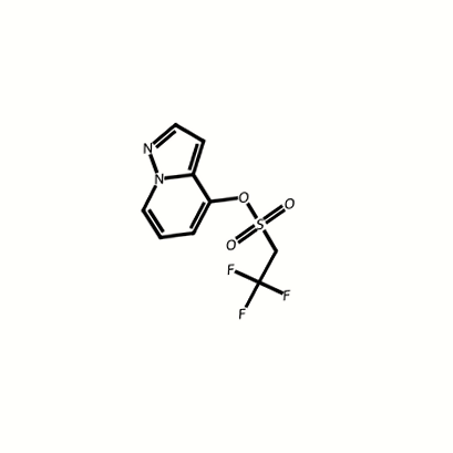 O=S(=O)(CC(F)(F)F)Oc1cccn2nccc12